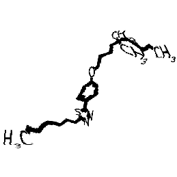 CCCCCCCc1nnc(-c2ccc(OCCCCC(C)(C)CCCC)cc2)s1